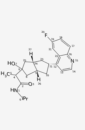 CC(C)NC(=O)C(C)C1(O)C[C@H]2C[C@@H](c3ccnc4ccc(F)cc34)C[C@H]2C1